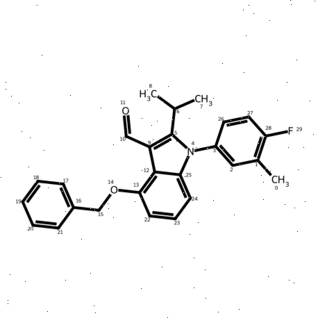 Cc1cc(-n2c(C(C)C)c(C=O)c3c(OCc4ccccc4)cccc32)ccc1F